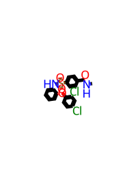 CNC(=O)c1ccc(S(=O)(=O)Nc2ccccc2Oc2ccc(Cl)cc2Cl)cc1